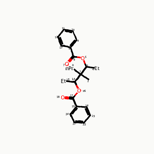 CCCC(C)(C(CC)OC(=O)c1ccccc1)C(CC)OC(=O)c1ccccc1